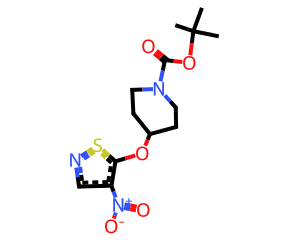 CC(C)(C)OC(=O)N1CCC(Oc2sncc2[N+](=O)[O-])CC1